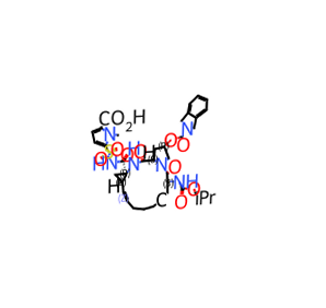 CC(C)OC(=O)N[C@H]1CCCCC/C=C\[C@@H]2C[C@@]2(C(=O)NS(=O)(=O)c2ccc(C(=O)O)n2C)NC(=O)[C@@H]2C[C@@H](OC(=O)N3Cc4ccccc4C3)CN2C1=O